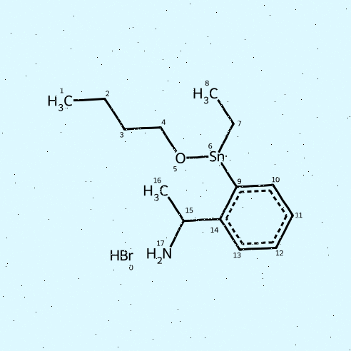 Br.CCCC[O][Sn]([CH2]C)[c]1ccccc1C(C)N